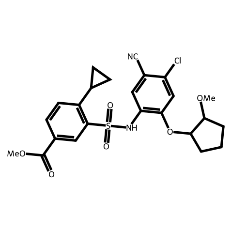 COC(=O)c1ccc(C2CC2)c(S(=O)(=O)Nc2cc(C#N)c(Cl)cc2OC2CCCC2OC)c1